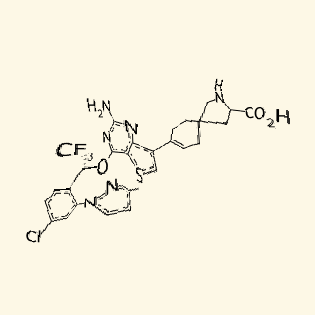 Cc1ccn(-c2cc(Cl)ccc2[C@@H](Oc2nc(N)nc3c(C4=CCC5(CC4)CNC(C(=O)O)C5)csc23)C(F)(F)F)n1